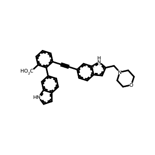 O=C(O)c1cccc(C#Cc2ccc3cc(CN4CCOCC4)[nH]c3c2)c1-c1ccc2cc[nH]c2c1